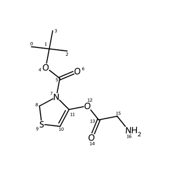 CC(C)(C)OC(=O)N1CSC=C1OC(=O)CN